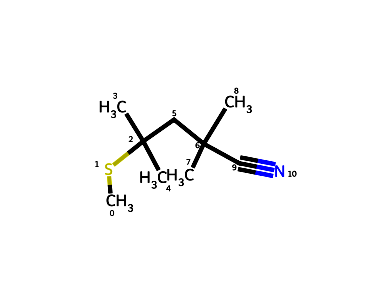 CSC(C)(C)CC(C)(C)C#N